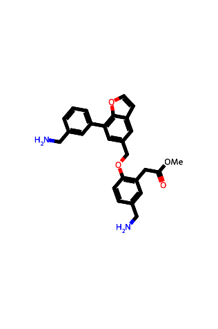 COC(=O)Cc1cc(CN)ccc1OCc1cc(-c2cccc(CN)c2)c2occc2c1